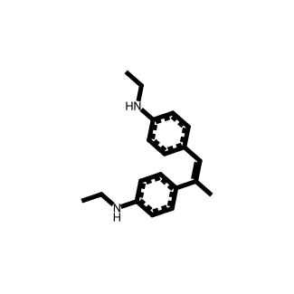 CCNc1ccc(C=C(C)c2ccc(NCC)cc2)cc1